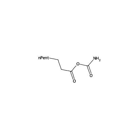 CCCCCCCC(=O)OC(N)=O